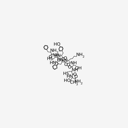 CC(O)C(NC(=O)C(CS)NC(=O)C(CO)NC(=O)C(CCCCN)NC(=O)C(Cc1c[nH]c2ccccc12)NC(=O)C(Cc1ccc(O)cc1)NC(=O)C(CS)NC(=O)C(N)Cc1ccccc1)C(N)=O